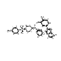 O=S(=O)(c1ccc(F)cc1)N1CCC(Nc2nccc(-c3c(-c4ccc(F)c(F)c4)nc4sccn34)n2)CC1